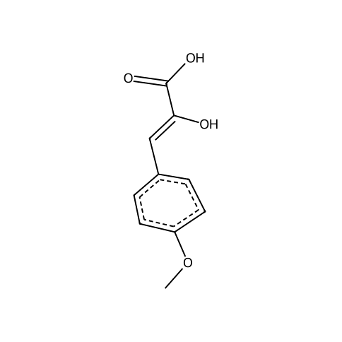 COc1ccc(C=C(O)C(=O)O)cc1